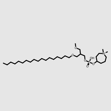 CCCCCCCCCCCCCCCCCCOCC(COC)COP(=O)(O)OC1CCC[N+](C)(C)CC1